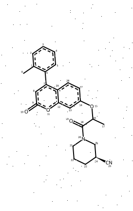 Cc1ccccc1-c1cc(=O)oc2cc(OC(C)C(=O)N3CCC[C@H](C#N)C3)ccc12